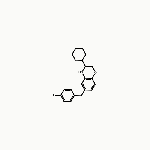 Fc1ccc(Cc2cnc3c(c2)NC(C2CCCCC2)CO3)cc1